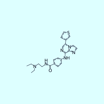 CCN(CC)CCNC(=O)c1ccc(Nc2ncc(-c3ccsc3)n3ccnc23)cc1